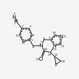 N#Cc1ccc(CN2Cc3cncn3C(C3CC3)C2=O)cc1